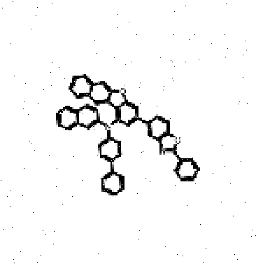 c1ccc(-c2ccc(N(c3ccc4ccccc4c3)c3cc(-c4ccc5oc(-c6ccccc6)nc5c4)cc4oc5cc6ccccc6cc5c34)cc2)cc1